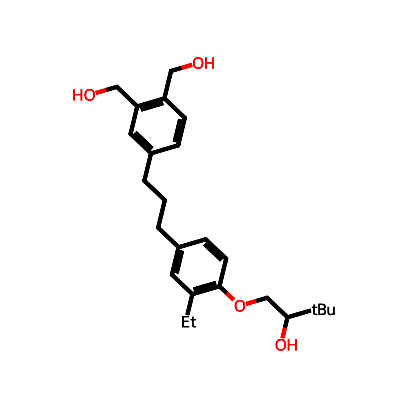 CCc1cc(CCCc2ccc(CO)c(CO)c2)ccc1OCC(O)C(C)(C)C